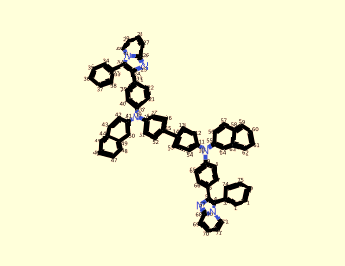 c1ccc(-c2c(-c3ccc(N(c4ccc(-c5ccc(N(c6ccc(-c7nc8ccccn8c7-c7ccccc7)cc6)c6ccc7ccccc7c6)cc5)cc4)c4ccc5ccccc5c4)cc3)nc3ccccn23)cc1